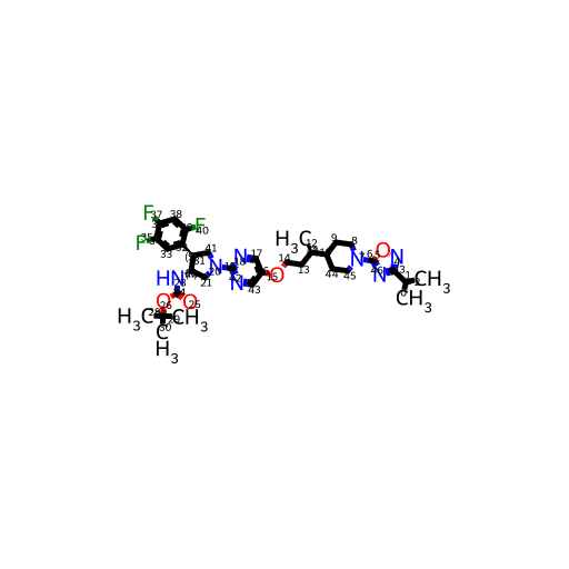 CC(C)c1noc(N2CCC([C@H](C)CCOc3cnc(N4C[C@H](NC(=O)OC(C)(C)C)[C@@H](c5cc(F)c(F)cc5F)C4)nc3)CC2)n1